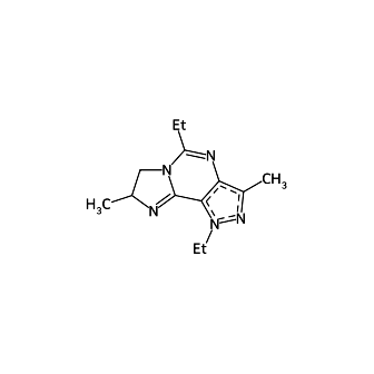 CCC1=Nc2c(C)nn(CC)c2C2=NC(C)CN12